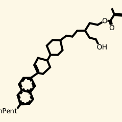 C=C(C)C(=O)OCCC(CCO)CCCC1CCC(C2CC=C(c3ccc4cc(CCCCC)ccc4c3)CC2)CC1